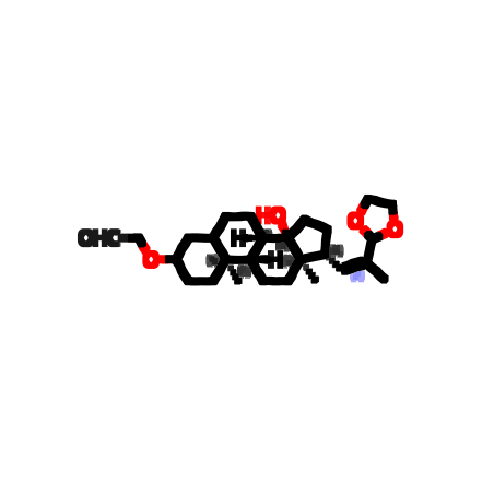 C/C(=C/[C@H]1CC[C@@]2(O)[C@@H]3CCC4CC(OCC=O)CC[C@]4(C)[C@H]3CC[C@]12C)C1OCCO1